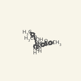 Cc1ccc(OC[C@H](O)CNc2cc[nH]c(=O)c2-c2nc3cc4c(cc3[nH]2)CN(C2CCN(C)CC2)C4=O)c(C)c1